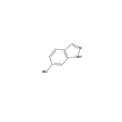 CCC(C)c1ccc2cn[nH]c2c1